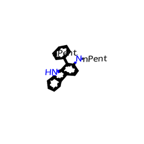 CCCCCN(CCCCC)c1ccc2c([nH]c3ccccc32)c1-c1ccccc1